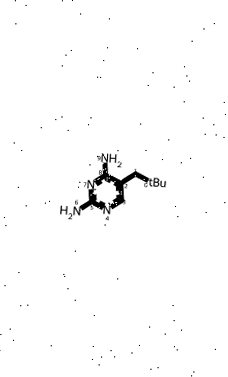 CC(C)(C)Cc1cnc(N)nc1N